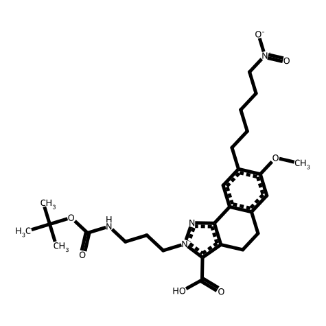 COc1cc2c(cc1CCCCC[N+](=O)[O-])-c1nn(CCCNC(=O)OC(C)(C)C)c(C(=O)O)c1CC2